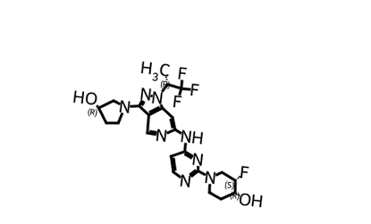 C[C@@H](n1nc(N2CC[C@@H](O)C2)c2cnc(Nc3ccnc(N4CC[C@@H](O)[C@@H](F)C4)n3)cc21)C(F)(F)F